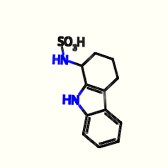 O=S(=O)(O)NC1CCCc2c1[nH]c1ccccc21